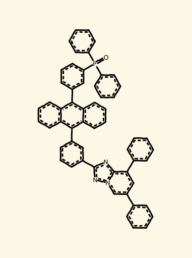 O=P(c1ccccc1)(c1ccccc1)c1cccc(-c2c3ccccc3c(-c3cccc(-c4nc5c(-c6ccccc6)cc(-c6ccccc6)cn5n4)c3)c3ccccc23)c1